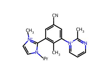 Cc1c(-c2n(C(C)C)cc[n+]2C)cc(C#N)cc1-[n+]1cccnc1C